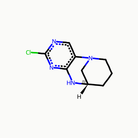 Clc1ncc2c(n1)N[C@H]1CCCN2C1